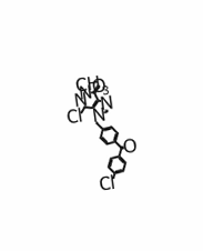 Cn1nc(Cl)c2c(ncn2Cc2ccc(C(=O)c3ccc(Cl)cc3)cc2)c1=O